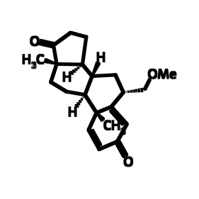 COC[C@H]1C[C@@H]2[C@H](CC[C@]3(C)C(=O)CC[C@@H]23)[C@@]2(C)C=CC(=O)C=C12